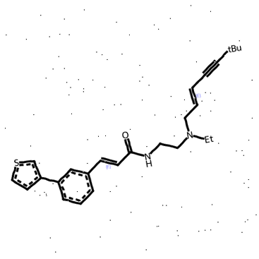 CCN(C/C=C/C#CC(C)(C)C)CCNC(=O)/C=C/c1cccc(-c2ccsc2)c1